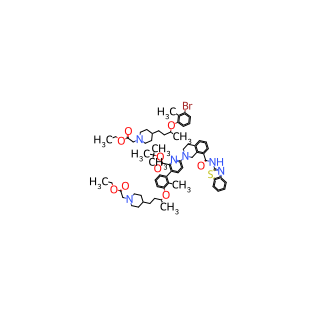 CCOC(=O)CN1CCC(CC[C@H](C)Oc2cccc(-c3ccc(N4CCc5cccc(C(=O)Nc6nc7ccccc7s6)c5C4)nc3C(=O)OC(C)(C)C)c2C)CC1.CCOC(=O)CN1CCC(CC[C@H](C)Oc2cccc(Br)c2C)CC1